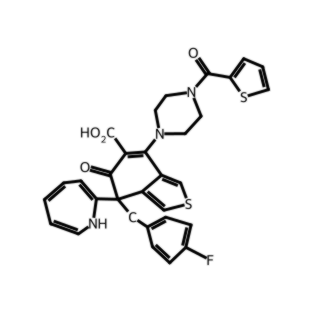 O=C(O)C1=C(N2CCN(C(=O)c3cccs3)CC2)c2cscc2C(Cc2ccc(F)cc2)(C2=CC=CC=CN2)C1=O